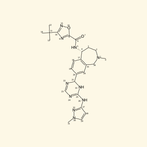 CN1CC[C@@H](NC(=O)c2nc(C(C)(C)C)no2)c2ccc(C3N=CN=C(Nc4ccn(C)n4)N3)cc2C1